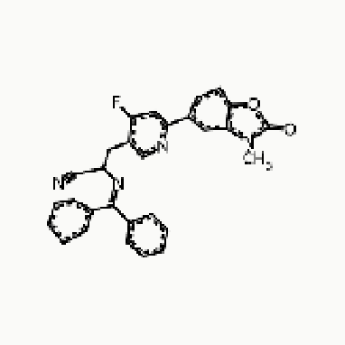 Cn1c(=O)oc2ccc(-c3cc(F)c(CC(C#N)N=C(c4ccccc4)c4ccccc4)cn3)cc21